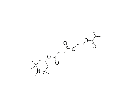 C=C(C)C(=O)OCCOC(=O)CCC(=O)OC1CC(C)(C)N(C)C(C)(C)C1